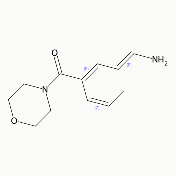 C\C=C/C(=C\C=C\N)C(=O)N1CCOCC1